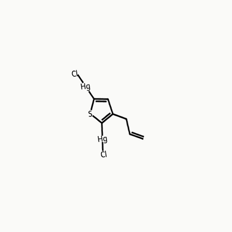 C=CCc1c[c]([Hg][Cl])s[c]1[Hg][Cl]